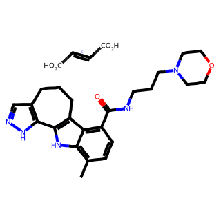 Cc1ccc(C(=O)NCCCN2CCOCC2)c2c3c([nH]c12)-c1[nH]ncc1CCC3.O=C(O)/C=C/C(=O)O